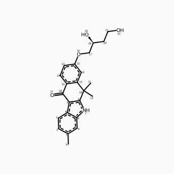 Cc1ccc2c3c([nH]c2c1)C(C)(C)c1cc(OC[C@@H](O)CCO)ccc1C3=O